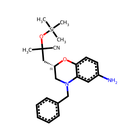 CC(C#N)(C[C@H]1CN(Cc2ccccc2)c2cc(N)ccc2O1)O[Si](C)(C)C